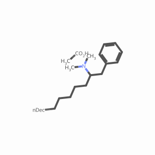 CC(=O)O.CCCCCCCCCCCCCCCC(Cc1ccccc1)N(C)C